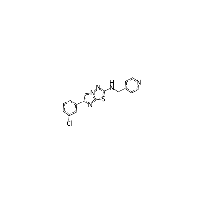 Clc1cccc(-c2cn3nc(NCc4ccncc4)sc3n2)c1